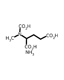 CN(C(=O)O)C(CCC(=O)O)C(=O)O.N